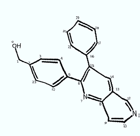 OCc1ccc(-c2nc3ccncc3cc2-c2ccccc2)cc1